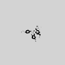 COC(=O)c1cc(S(=O)(=O)N(Cc2ccc(OC)cc2)Cc2ccc(OC)cc2)c2cn(C)nc2c1